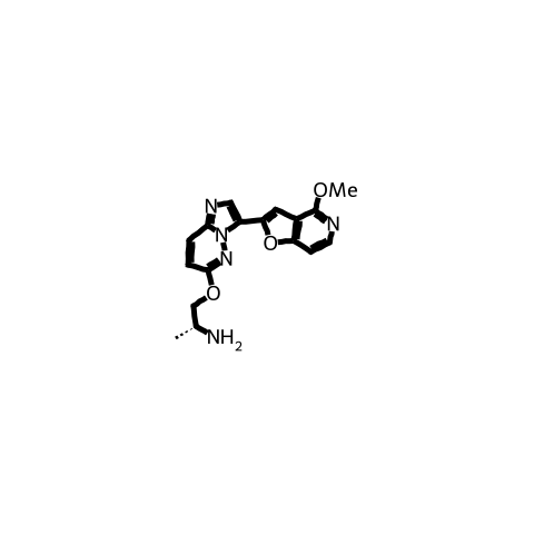 COc1nccc2oc(-c3cnc4ccc(OC[C@@H](C)N)nn34)cc12